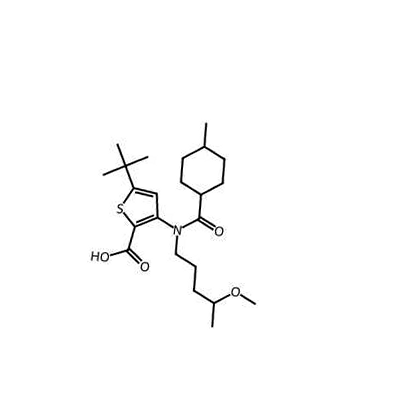 COC(C)CCCN(C(=O)C1CCC(C)CC1)c1cc(C(C)(C)C)sc1C(=O)O